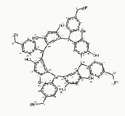 CC(C)Cc1ccc(C2c3cc(c(O)cc3O)C(c3ccc(CC(C)C)cc3)c3cc(c(O)cc3O)C(c3ccc(CC(C)C)cc3)c3cc(c(O)cc3O)C(c3ccc(CC(C)C)cc3)c3cc2c(O)cc3O)cc1